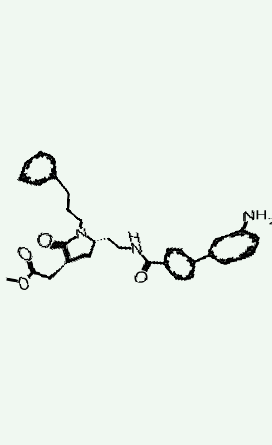 COC(=O)C[C@@H]1C[C@@H](CCNC(=O)c2ccc(-c3cccc(N)c3)cc2)N(CCCc2ccccc2)C1=O